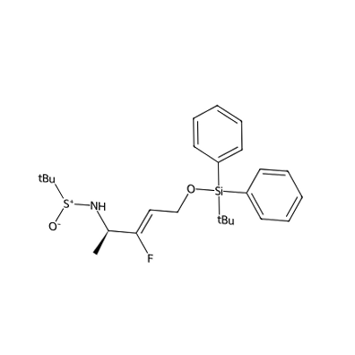 C[C@@H](N[S+]([O-])C(C)(C)C)/C(F)=C/CO[Si](c1ccccc1)(c1ccccc1)C(C)(C)C